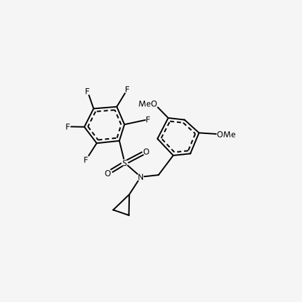 COc1cc(CN(C2CC2)S(=O)(=O)c2c(F)c(F)c(F)c(F)c2F)cc(OC)c1